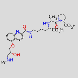 CC(C)NCC(O)COc1cccc2nc(C(=O)NCCCCC(NC(C)C(=O)N3CCCC3C(=O)O)C(=O)O)ccc12